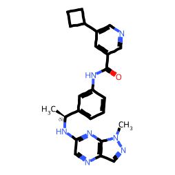 C[C@H](Nc1cnc2cnn(C)c2n1)c1cccc(NC(=O)c2cncc(C3CCC3)c2)c1